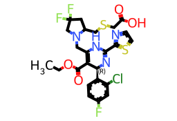 CCOC(=O)C1=C(CN2CC(F)(F)CC2CSCC(=O)O)NC(c2nccs2)=N[C@H]1c1ccc(F)cc1Cl